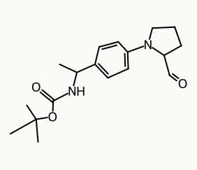 CC(NC(=O)OC(C)(C)C)c1ccc(N2CCCC2C=O)cc1